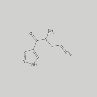 C=CCN(C)C(=O)c1cn[nH]c1